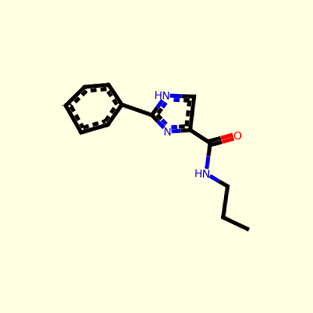 CCCNC(=O)c1c[nH]c(-c2cc[c]cc2)n1